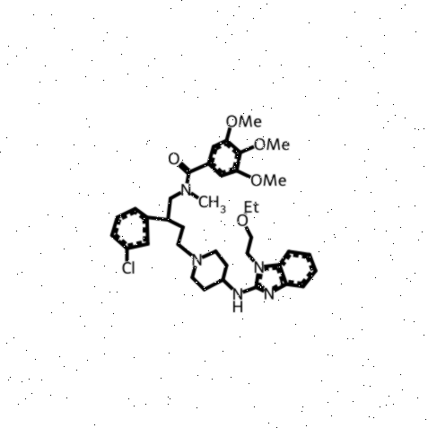 CCOCCn1c(NC2CCN(CCC(CN(C)C(=O)c3cc(OC)c(OC)c(OC)c3)c3cccc(Cl)c3)CC2)nc2ccccc21